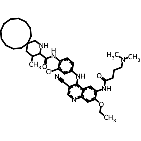 CCOc1cc2ncc(C#N)c(Nc3ccc(NC(=O)C4NCC5(CCCCCCCCCCC5)CC4C)c(Cl)c3)c2cc1NC(=O)CCCN(C)C